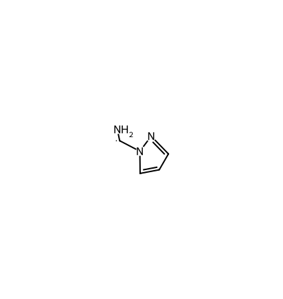 N[CH]n1cccn1